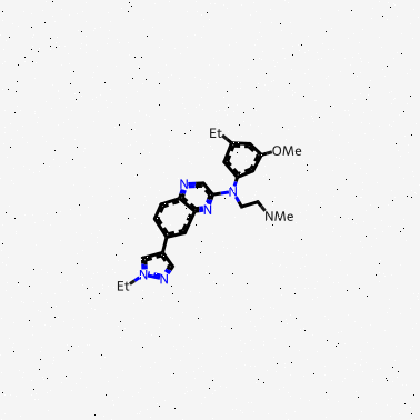 CCc1cc(OC)cc(N(CCNC)c2cnc3ccc(-c4cnn(CC)c4)cc3n2)c1